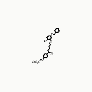 CCOC(=O)COc1ccc(C(C#N)CCCCCOc2cc(OCc3ccccc3)ccc2CC)cc1